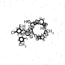 Cc1cccc(C[C@H](NC(=O)Nc2ccc(Cl)cc2F)C(=O)N[C@H]2COC(=O)[C@@H]3CCCN3C(=O)[C@H](C)NC(=O)[C@@H]3CCCCN3C(=O)[C@@H]3C[C@@H](O)CN3C2=O)c1